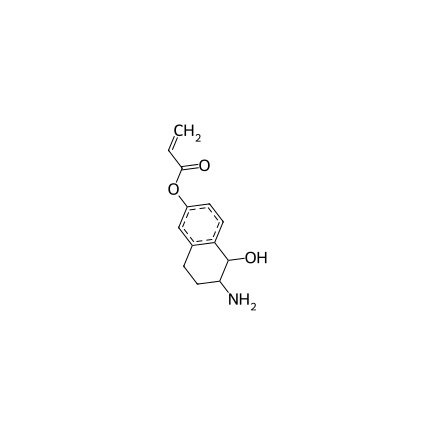 C=CC(=O)Oc1ccc2c(c1)CCC(N)C2O